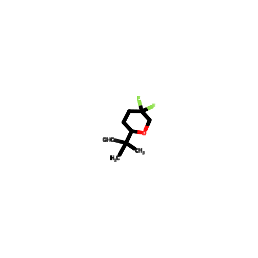 CC(C)(C=O)C1CCC(F)(F)CO1